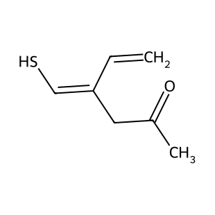 C=C/C(=C\S)CC(C)=O